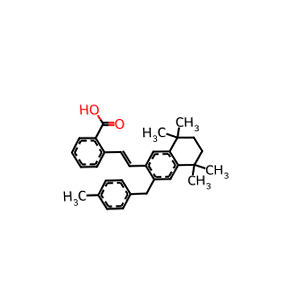 Cc1ccc(Cc2cc3c(cc2C=Cc2ccccc2C(=O)O)C(C)(C)CCC3(C)C)cc1